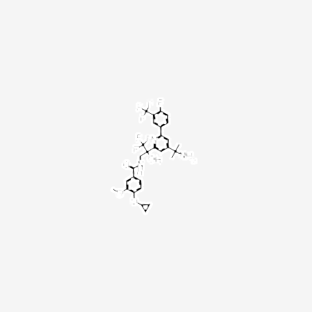 COc1cc(C(=O)NCC(O)(c2cc(C(C)(C)N)cc(-c3ccc(F)c(C(F)(F)F)c3)n2)C(F)(F)F)ccc1OC1CC1